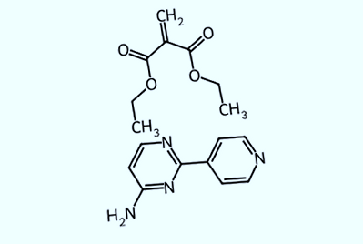 C=C(C(=O)OCC)C(=O)OCC.Nc1ccnc(-c2ccncc2)n1